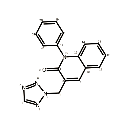 O=c1c(Cn2ncnn2)cc2ccccc2n1-c1ccccc1